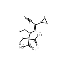 CCN(C=C(C#N)C1CC1)C(CC)(C(=O)O)C(=O)O